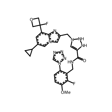 COc1ccc(-n2cnnn2)c(CNC(=O)C2=CN(Cc3cn4cc(C5CC5)cc(C5(F)COC5)c4n3)NN2)c1F